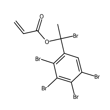 C=CC(=O)OC(C)(Br)c1cc(Br)c(Br)c(Br)c1Br